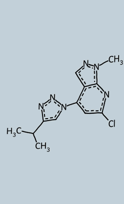 CC(C)c1cn(-c2cc(Cl)nc3c2cnn3C)nn1